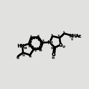 CC(=O)NCC1CN(c2ccc3c(c2)CC(C)N3)C(=O)O1